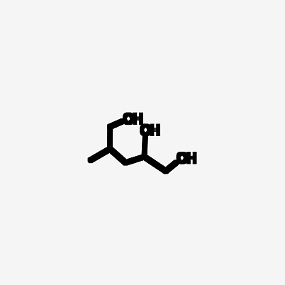 CC(CO)CC(O)CO